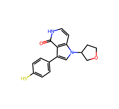 O=c1[nH]ccc2c1c(-c1ccc(S)cc1)cn2C1CCOC1